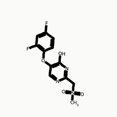 CS(=O)(=O)Cc1ncc(Oc2ccc(F)cc2F)c(O)n1